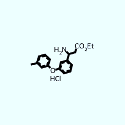 CCOC(=O)CC(N)c1cccc(Oc2cccc(C)c2)c1.Cl